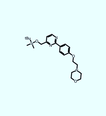 CC(C)(C)[Si](C)(C)OCc1ccnc(-c2ccc(OCCN3CCOCC3)cc2)n1